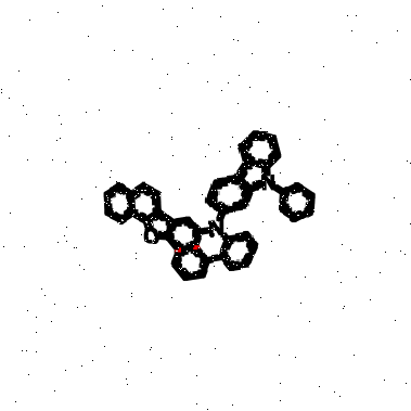 c1ccc(-c2ccccc2N(c2ccc3oc4c5ccccc5ccc4c3c2)c2ccc3c4ccccc4n(-c4ccccc4)c3c2)cc1